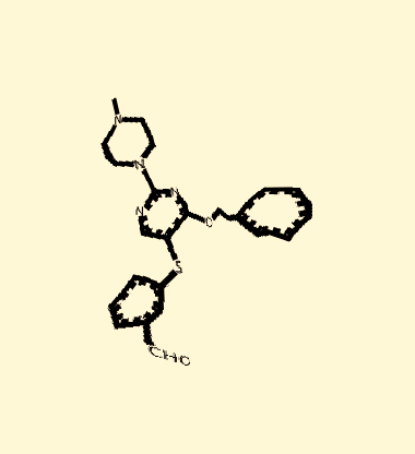 CN1CCN(c2ncc(Sc3cccc(C=O)c3)c(OCc3ccccc3)n2)CC1